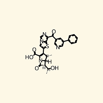 C[C@@H](O)[C@H]1C(=O)N2C(C(=O)O)=C(c3cn4cnc(C(=O)c5cncc(-c6ccccc6)c5)c4s3)[C@H](C)[C@H]12